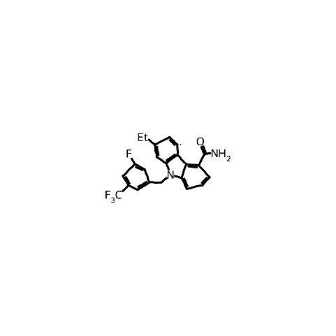 CCc1c[c]c2c3c(C(N)=O)cccc3n(Cc3cc(F)cc(C(F)(F)F)c3)c2c1